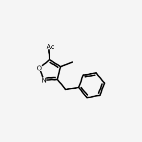 CC(=O)c1onc(Cc2ccccc2)c1C